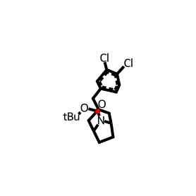 CC(C)(C)OC(=O)N1C2CCC1CC(Cc1ccc(Cl)c(Cl)c1)C2